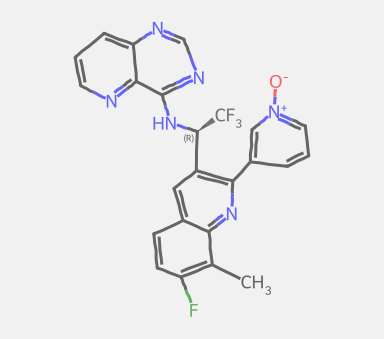 Cc1c(F)ccc2cc([C@@H](Nc3ncnc4cccnc34)C(F)(F)F)c(-c3ccc[n+]([O-])c3)nc12